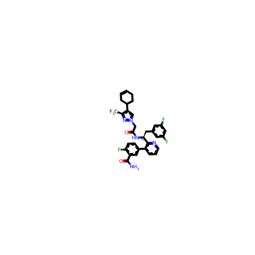 NC(=O)c1cc(-c2cccnc2[C@H](Cc2cc(F)cc(F)c2)NC(=O)Cn2cc(C3CC=CCC3)c(C(F)(F)F)n2)ccc1F